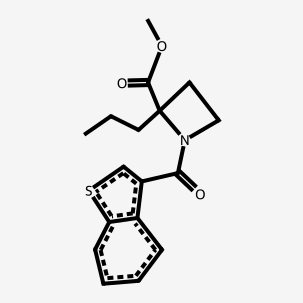 CCCC1(C(=O)OC)CCN1C(=O)c1csc2ccccc12